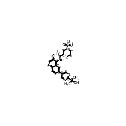 C[C@H](Nc1c(Cl)cnc2ccc(-c3cnc(C(C)(C)O)nc3)cc12)[C@H]1CCCN(S(C)(=O)=O)C1